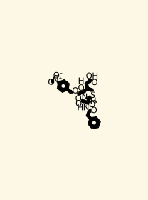 CO[C@@]1(NC(=O)Cc2ccccc2)C(=O)N2[C@@H]1SCC(CC(=O)O)C2(O)C(=O)OCc1ccc([N+](=O)[O-])cc1